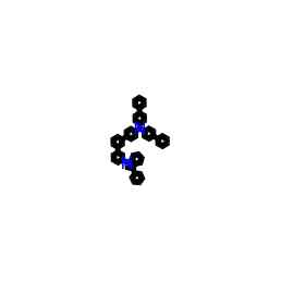 c1ccc(-c2ccc(N(c3ccc(-c4ccccc4)cc3)c3ccc(-c4cccc(-c5cccc(-n6cc(-c7ccccc7)c7ccccc76)c5)c4)cc3)cc2)cc1